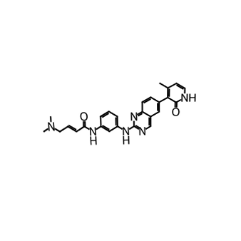 Cc1cc[nH]c(=O)c1-c1ccc2nc(Nc3cccc(NC(=O)/C=C/CN(C)C)c3)ncc2c1